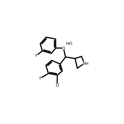 Cl.Fc1cccc(OC(c2ccc(F)c(Cl)c2)C2CNC2)c1